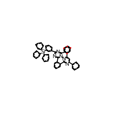 c1ccc(-c2cc(-c3ccccc3)nc(-c3ccccc3-c3nc(-c4ccccc4)nc(-c4cccc([Si](c5ccccc5)(c5ccccc5)c5ccccc5)c4)n3)n2)cc1